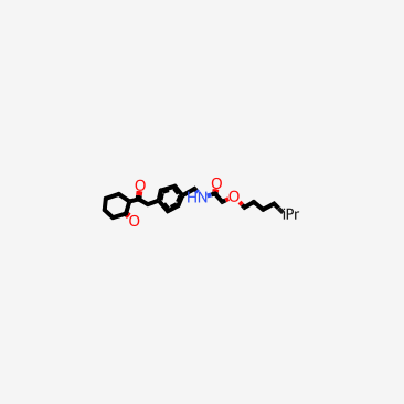 CC(C)CCCCOCC(=O)NCc1ccc(CC(=O)C2CCCCC2=O)cc1